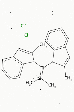 CC1=Cc2ccccc2[CH]1[Ti+2]([CH]1C(C)=Cc2ccccc21)=[Si](C)C.[Cl-].[Cl-]